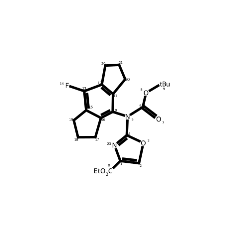 CCOC(=O)c1coc(N(C(=O)OC(C)(C)C)c2c3c(c(F)c4c2CCC4)CCC3)n1